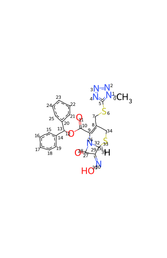 Cn1nnnc1SCC1=C(C(=O)OC(c2ccccc2)c2ccccc2)N2C(=O)C(=NO)[C@@H]2SC1